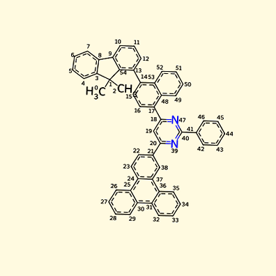 CC1(C)c2ccccc2-c2cccc(-c3ccc(-c4cc(-c5ccc6c7ccccc7c7ccccc7c6c5)nc(-c5ccccc5)n4)c4ccccc34)c21